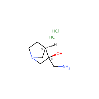 Cl.Cl.NC[C@]1(O)CN2CC[C@@H]1C2